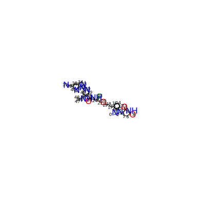 CN1CN(C2CCC(=O)NC2=O)c2cccc(CCCOCC(F)CNC(=O)c3cnc(-n4ncc5cc(C#N)cnc54)cc3NC3CC3)c21